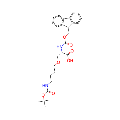 CC(C)(C)OC(=O)NCCCCOC[C@H](NC(=O)OCC1c2ccccc2-c2ccccc21)C(=O)O